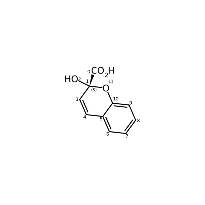 O=C(O)[C@]1(O)C=Cc2ccccc2O1